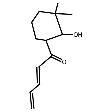 C=C/C=C/C(=O)C1CCCC(C)(C)C1O